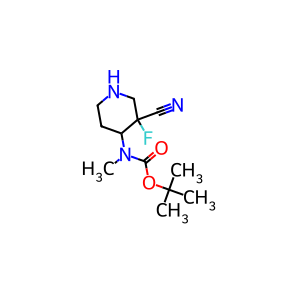 CN(C(=O)OC(C)(C)C)C1CCNCC1(F)C#N